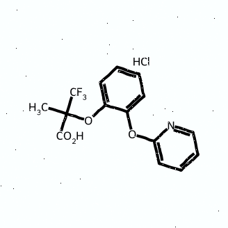 CC(Oc1ccccc1Oc1ccccn1)(C(=O)O)C(F)(F)F.Cl